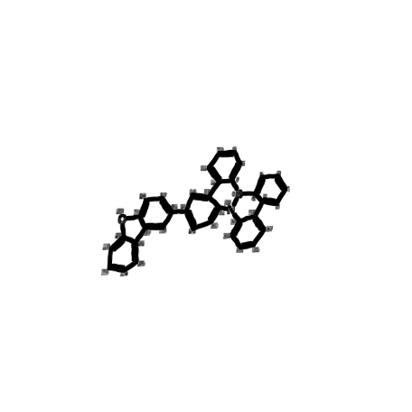 c1ccc2c(c1)B1c3ccccc3-c3cc(-c4ccc5oc6ccccc6c5c4)ccc3N1c1ccccc1-2